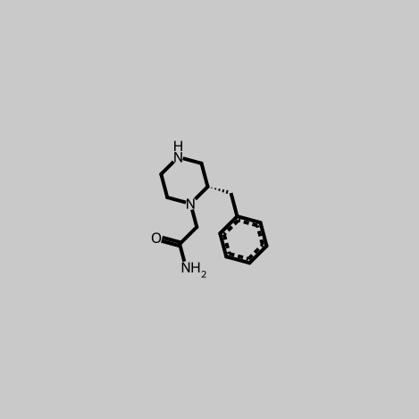 NC(=O)CN1CCNC[C@@H]1Cc1ccccc1